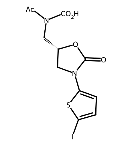 CC(=O)N(C[C@H]1CN(c2ccc(I)s2)C(=O)O1)C(=O)O